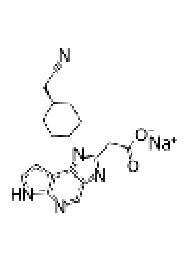 N#CC[C@H]1CC[C@H](n2c(CC(=O)[O-])nc3cnc4[nH]ccc4c32)CC1.[Na+]